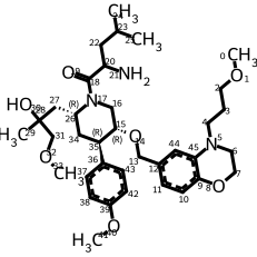 COCCCN1CCOc2ccc(CO[C@H]3CN(C(=O)C(N)CC(C)C)[C@@H](CC(C)(O)COC)C[C@@H]3c3ccc(OC)cc3)cc21